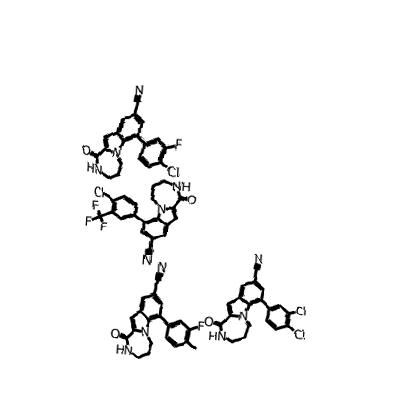 Cc1ccc(-c2cc(C#N)cc3cc4n(c23)CCCNC4=O)cc1F.N#Cc1cc(-c2ccc(Cl)c(C(F)(F)F)c2)c2c(c1)cc1n2CCCNC1=O.N#Cc1cc(-c2ccc(Cl)c(Cl)c2)c2c(c1)cc1n2CCCNC1=O.N#Cc1cc(-c2ccc(Cl)c(F)c2)c2c(c1)cc1n2CCCNC1=O